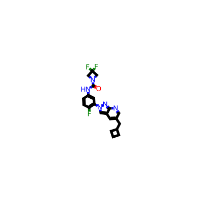 O=C(Nc1ccc(F)c(-n2cc3cc(CC4CCC4)cnc3n2)c1)N1CC(F)(F)C1